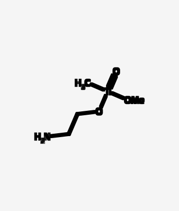 C[O][Ti]([CH3])(=[O])[O]CCN